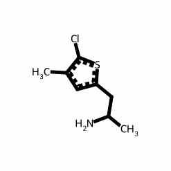 Cc1cc(CC(C)N)sc1Cl